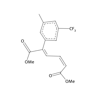 COC(=O)/C=C\C=C(\C(=O)OC)c1cc(C)cc(C(F)(F)F)c1